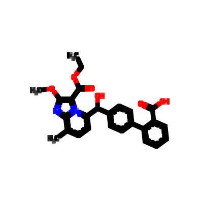 CCOC(=O)c1c(OC)nc2c(C)ccc(C(O)c3ccc(-c4ccccc4C(=O)O)cc3)n12